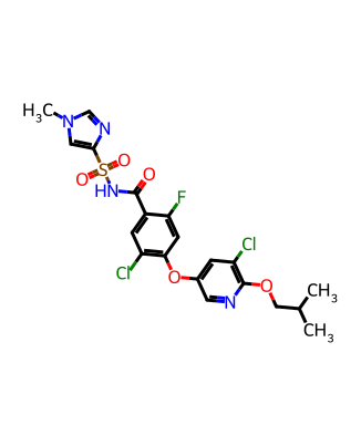 CC(C)COc1ncc(Oc2cc(F)c(C(=O)NS(=O)(=O)c3cn(C)cn3)cc2Cl)cc1Cl